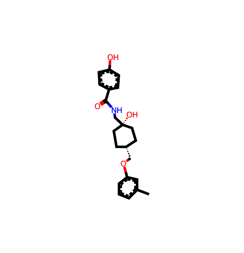 Cc1cccc(OC[C@H]2CC[C@](O)(CNC(=O)c3ccc(O)cc3)CC2)c1